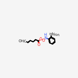 CCCCCCCCCc1ccccc1NOOC(=O)CCCCC=O